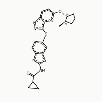 C[C@@H]1CCC[C@H]1Oc1ccc2nnc(Sc3ccc4nc(NC(=O)C5CC5)sc4c3)n2n1